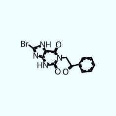 O=C(Cn1c(=O)[nH]c2nc(Br)[nH]c2c1=O)c1ccccc1